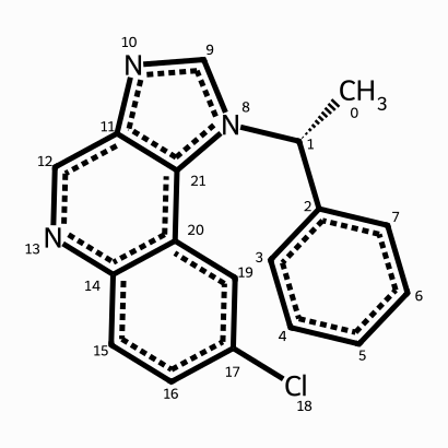 C[C@H](c1ccccc1)n1cnc2cnc3ccc(Cl)cc3c21